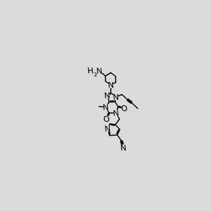 CC#CCn1c(N2CCCC(N)C2)nc2c1c(=O)n(Cc1cncc(C#N)c1)c(=O)n2C